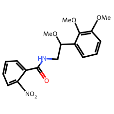 COc1cccc(C(CNC(=O)c2ccccc2[N+](=O)[O-])OC)c1OC